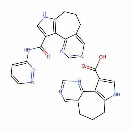 O=C(Nc1cccnn1)c1c[nH]c2c1-c1ncncc1CCC2.O=C(O)c1c[nH]c2c1-c1ncncc1CCC2